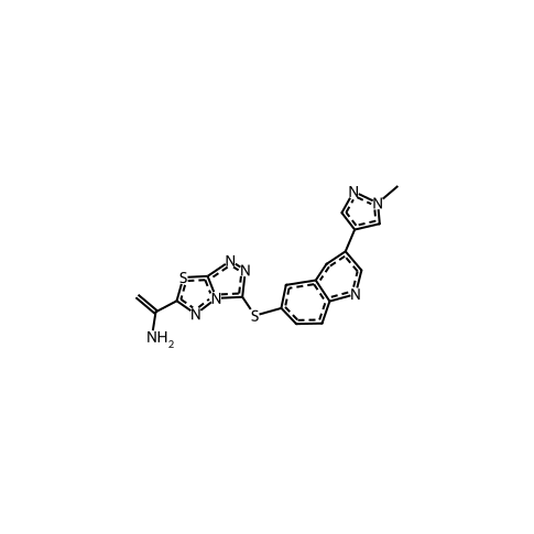 C=C(N)c1nn2c(Sc3ccc4ncc(-c5cnn(C)c5)cc4c3)nnc2s1